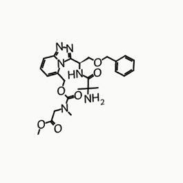 COC(=O)CN(C)C(=O)OCc1cccc2nnc([C@@H](COCc3ccccc3)NC(=O)C(C)(C)N)n12